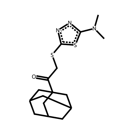 CN(C)c1nnc(SCC(=O)C23CC4CC(CC(C4)C2)C3)s1